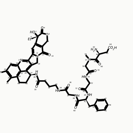 CC[C@@]1(O)C(=O)OCc2c1cc1n(c2=O)Cc2c-1nc1cc(F)c(C)c3c1c2[C@@H](NC(=O)CCCNC(=O)CNC(=O)[C@H](Cc1ccccc1)NC(=O)CNC(=O)CN(C)C(=O)[C@@H](N)CC(=O)O)CC3